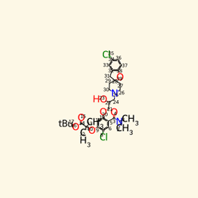 CN(C)C(=O)c1cc(Cl)c(OC(C)(C)C(=O)OC(C)(C)C)cc1OCC(O)CN1CCC2(CC1)Cc1cc(Cl)ccc1O2